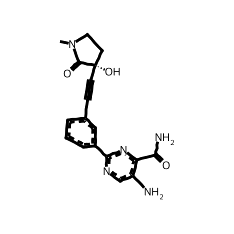 CN1CC[C@@](O)(C#Cc2cccc(-c3ncc(N)c(C(N)=O)n3)c2)C1=O